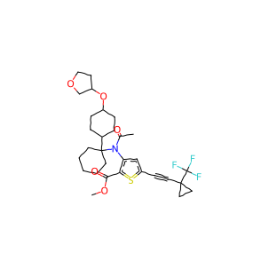 COC(=O)c1sc(C#CC2(C(F)(F)F)CC2)cc1N(C(C)=O)C1(C2CCC(OC3CCOC3)CC2)CCCCC1